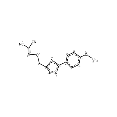 N#CC(C#N)=NOCc1nnc(-c2ccc(OC(F)(F)F)cc2)s1